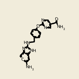 NC(=O)c1cnc(Oc2ccc(CNc3nc4ccc(N)cc4[nH]3)cc2)nc1